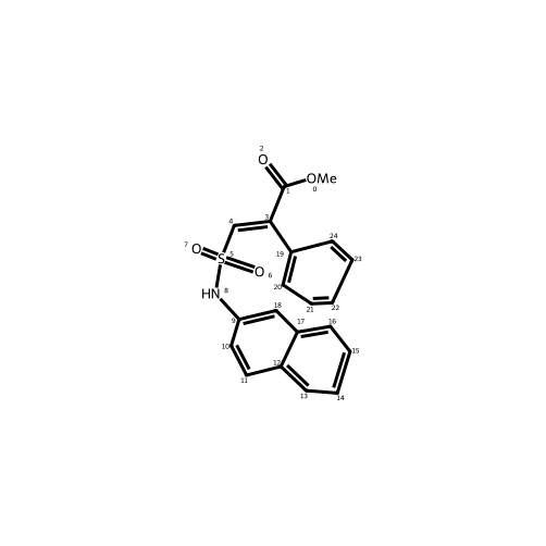 COC(=O)C(=CS(=O)(=O)Nc1ccc2ccccc2c1)c1ccccc1